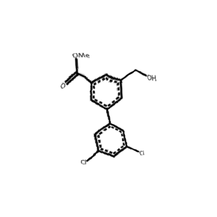 COC(=O)c1cc(CO)cc(-c2cc(Cl)cc(Cl)c2)c1